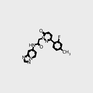 Cc1ccc(-c2ccc(=O)n(CC(=O)Nc3ccn4ncnc4c3)n2)c(F)c1